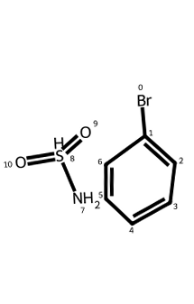 Brc1ccccc1.N[SH](=O)=O